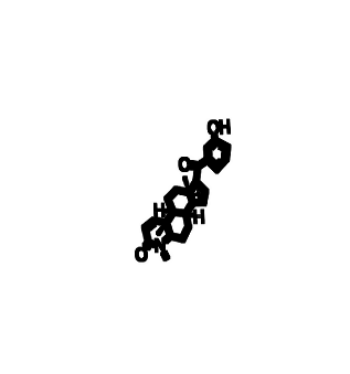 CN1C(=O)C=C[C@@]2(C)C1CC[C@@H]1[C@H]2CC[C@]2(C)C(C(=O)c3cccc(O)c3)CC[C@@H]12